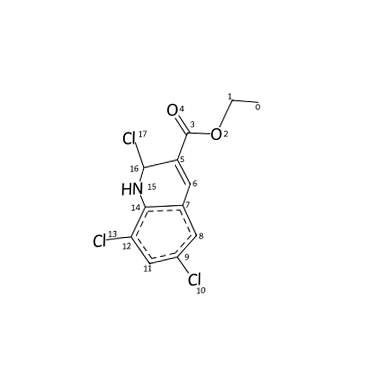 CCOC(=O)C1=Cc2cc(Cl)cc(Cl)c2NC1Cl